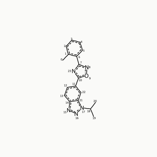 Cc1ccccc1-c1noc(-c2ccc3nnn(C(C)C)c3c2)n1